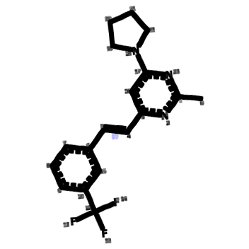 Cc1nc(/C=C/c2cccc(C(F)(F)F)c2)cc(N2CCCC2)n1